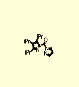 CC(C)c1nn(C(=O)n2cccn2)c(C(C)C)c1C(C)C